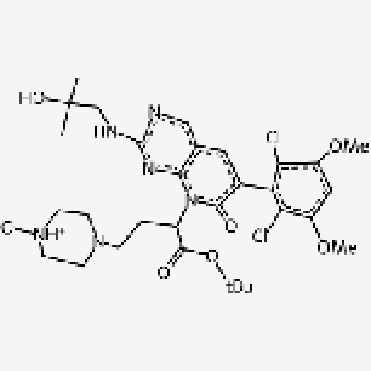 COc1cc(OC)c(Cl)c(-c2cc3cnc(NCC(C)(C)O)nc3n(C(CCN3CC[NH+]([O-])CC3)C(=O)OC(C)(C)C)c2=O)c1Cl